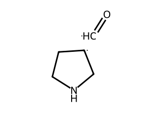 [CH]1CCNC1.[CH]=O